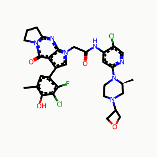 Cc1cc(-c2cn(CC(=O)Nc3cc(N4CCN(C5COC5)C[C@@H]4C)ncc3Cl)c3nc4n(c(=O)c23)CCC4)c(F)c(Cl)c1O